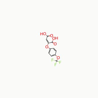 O=C(O)C=C(Oc1ccc(OC(F)(F)F)cc1)C(=O)O